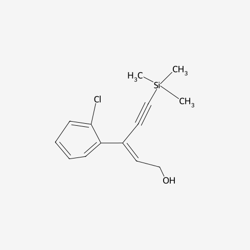 C[Si](C)(C)C#CC(=CCO)c1ccccc1Cl